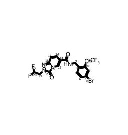 O=C(NCc1ccc(Br)cc1OC(F)(F)F)c1ccc2nn(CC(F)F)c(=O)n2c1